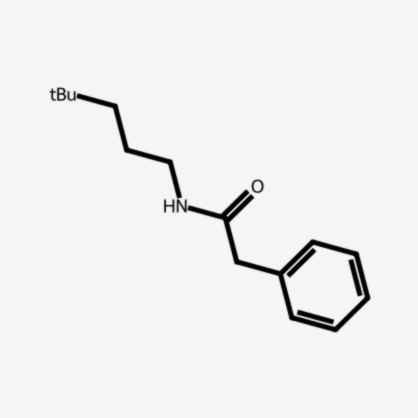 CC(C)(C)CCCNC(=O)Cc1ccccc1